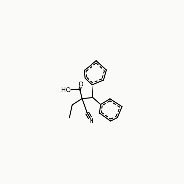 CCC(C#N)(C(=O)O)C(c1ccccc1)c1ccccc1